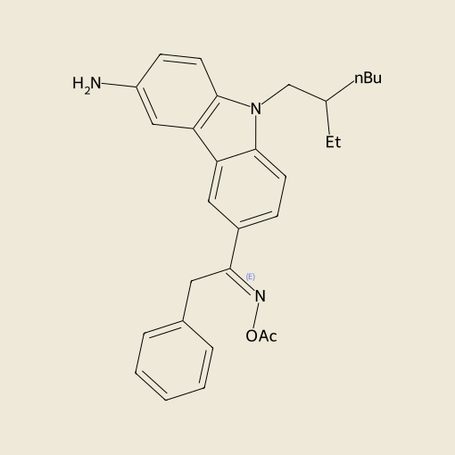 CCCCC(CC)Cn1c2ccc(N)cc2c2cc(/C(Cc3ccccc3)=N/OC(C)=O)ccc21